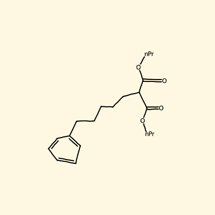 CCCOC(=O)C(CCCCCc1ccccc1)C(=O)OCCC